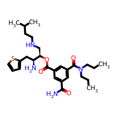 CCCN(CCC)C(=O)c1cc(C(N)=O)cc(C(=O)O[C@H](CNCCC(C)C)[C@@H](N)Cc2cccs2)c1